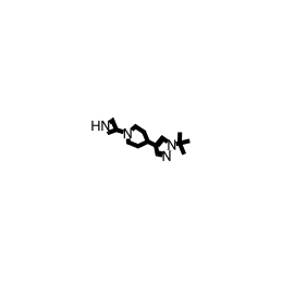 CC(C)(C)n1cc(C2CCN(C3CNC3)CC2)cn1